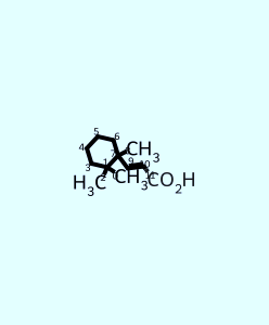 CC1(C)CCCCC1(C)C=CC(=O)O